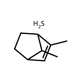 CC1=CC2CCC1C2C.S